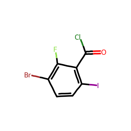 O=C(Cl)c1c(I)ccc(Br)c1F